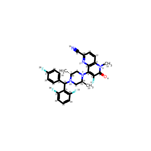 C[C@@H]1CN(c2c(F)c(=O)n(C)c3ccc(C#N)nc23)[C@@H](C)CN1C(c1ccc(F)cc1)c1c(F)cccc1F